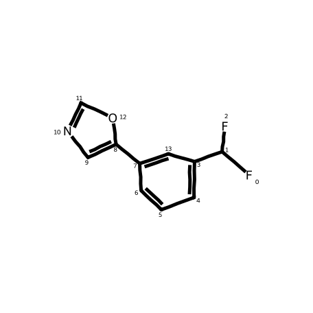 FC(F)c1cccc(-c2cnco2)c1